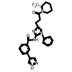 O=C(Nc1nc(CCC(=O)N2CCCC[C@H]2C(F)(F)F)cn1-c1ccccc1)c1cccc(-c2cn[nH]c2)c1